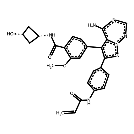 C=CC(=O)Nc1ccc(-c2nn3ncnc(N)c3c2-c2ccc(C(=O)N[C@H]3C[C@@H](O)C3)c(OC)c2)cc1